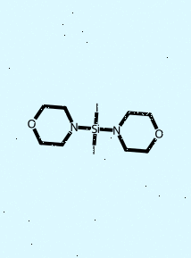 I[Si](I)(N1CCOCC1)N1CCOCC1